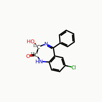 O=[13C]1Nc2ccc(Cl)cc2C(c2ccccc2)=N[13CH]1O